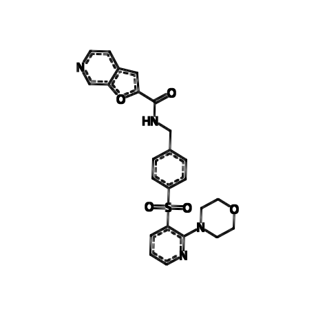 O=C(NCc1ccc(S(=O)(=O)c2cccnc2N2CCOCC2)cc1)c1cc2ccncc2o1